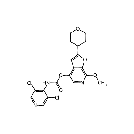 COc1ncc(OC(=O)Nc2c(Cl)cncc2Cl)c2cc(C3CCOCC3)oc12